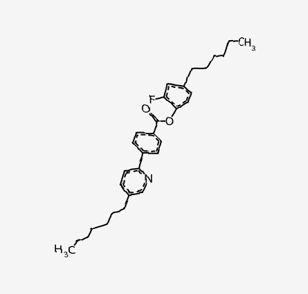 CCCCCCCc1ccc(-c2ccc(C(=O)Oc3ccc(CCCCCC)cc3F)cc2)nc1